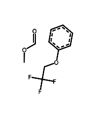 COC=O.FC(F)(F)COc1ccccc1